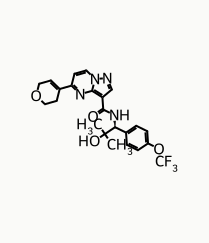 CC(C)(O)[C@@H](NC(=O)c1cnn2ccc(C3=CCOCC3)nc12)c1ccc(OC(F)(F)F)cc1